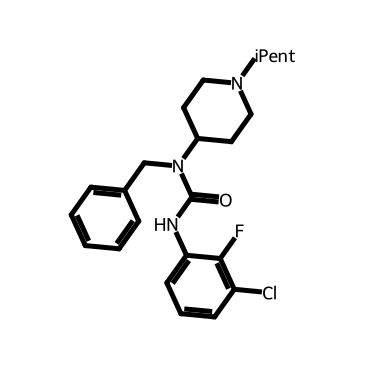 CCCC(C)N1CCC(N(Cc2ccccc2)C(=O)Nc2cccc(Cl)c2F)CC1